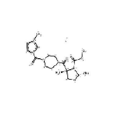 C[n+]1ccn(C(=O)N2CCN(C(=O)[C@@]3(C)CO[C@@H](C(C)(C)C)N3C(=O)OC(C)(C)C)CC2)c1.[I-]